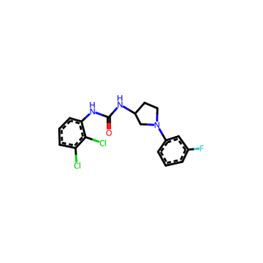 O=C(Nc1cccc(Cl)c1Cl)NC1CCN(c2cccc(F)c2)C1